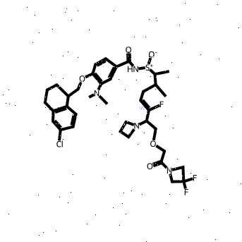 CC(C/C=C(\F)C(COCC(=O)N1CC(F)(F)C1)N1CCC1)C(C)[S+]([O-])NC(=O)c1ccc(OCC2CCCc3cc(Cl)ccc32)c(N(C)C)c1